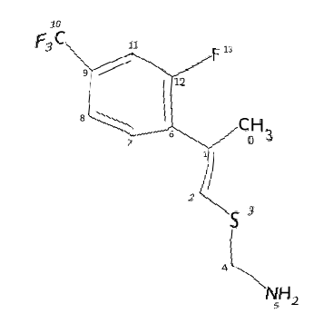 C/C(=C\SCN)c1ccc(C(F)(F)F)cc1F